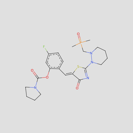 CP(C)(=O)CN1CCCCN1C1=NC(=O)/C(=C/c2ccc(F)cc2OC(=O)N2CCCC2)S1